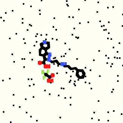 O=C(O)C(F)(F)F.O=C(O)c1c2c(nn1CCCNCCCCc1ccccc1)-c1ccncc1CC2